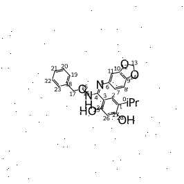 CC(C)c1cc(/C(=N\c2ccc3c(c2)OCO3)NOCc2ccccc2)c(O)cc1O